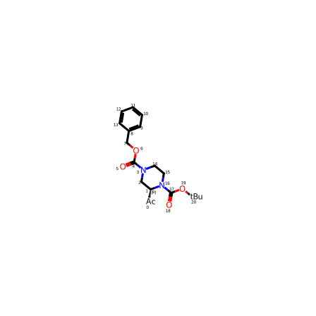 CC(=O)[C@H]1CN(C(=O)OCc2ccccc2)CCN1C(=O)OC(C)(C)C